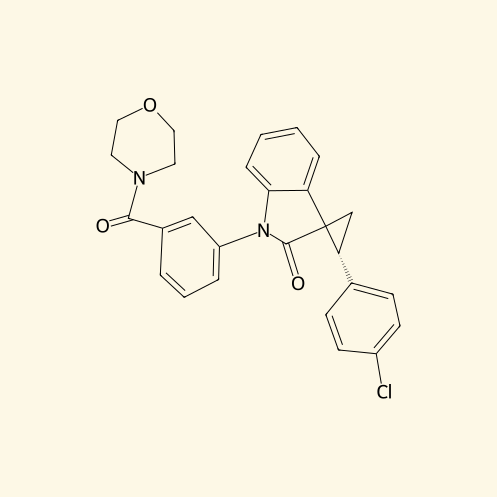 O=C(c1cccc(N2C(=O)C3(C[C@@H]3c3ccc(Cl)cc3)c3ccccc32)c1)N1CCOCC1